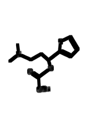 CC(C)COC(=O)OC(CCN(C)C)c1cccs1